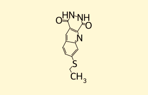 CCSc1ccc2cc3c(=O)[nH][nH]c(=O)c3nc2c1